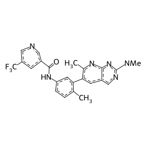 CNc1ncc2cc(-c3cc(NC(=O)c4cncc(C(F)(F)F)c4)ccc3C)c(C)nc2n1